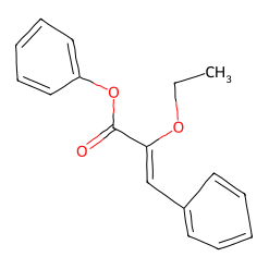 CCOC(=Cc1ccccc1)C(=O)Oc1ccccc1